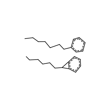 CCCCCCC1c2ccccc21.CCCCCCCc1ccccc1